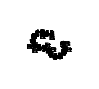 CCc1ccsc1-c1cc(CC)c(-c2ccc(-c3ccc(-c4ccc(-c5ccc(-c6sc(-c7sc(-c8cc(CC)c(-c9cc(CC)c(-c%10ccc(-c%11ccc(-c%12ccc(-c%13ccc(-c%14sc(-c%15sccc%15CC)cc%14CC)s%13)s%12)s%11)s%10)s9)s8)cc7CC)cc6CC)s5)s4)s3)s2)s1